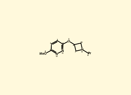 COc1ccc(OC2CN(C(C)C)C2)nn1